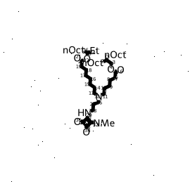 CCCCCCCCC(CCCCCCCC)COC(=O)CCCCCN(CCCCCCCC(=O)OC(CC)CCCCCCCC)CCCNc1c(NC)c(=O)c1=O